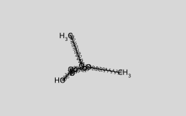 CCCCCCCCCCCCCCCCCCOc1ccc(C=Cc2ccc(S(=O)(=O)CCCCCCO)cc2)c(OCCCCCCCCCCCCCCCCCC)c1